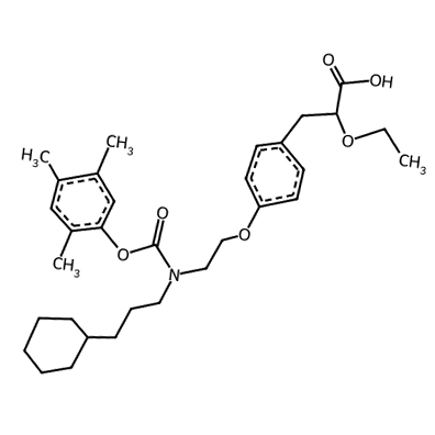 CCOC(Cc1ccc(OCCN(CCCC2CCCCC2)C(=O)Oc2cc(C)c(C)cc2C)cc1)C(=O)O